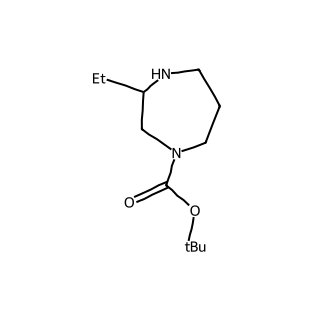 CCC1CN(C(=O)OC(C)(C)C)CCCN1